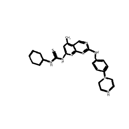 Cc1cc(NC(=S)NC2CCCCC2)nc2nc(Nc3ccc(N4CCNCC4)cc3)ncc12